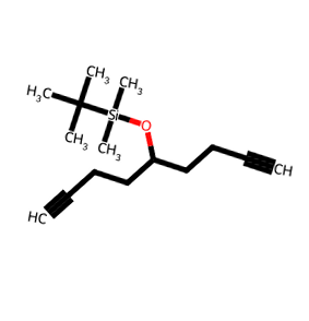 C#CCCC(CCC#C)O[Si](C)(C)C(C)(C)C